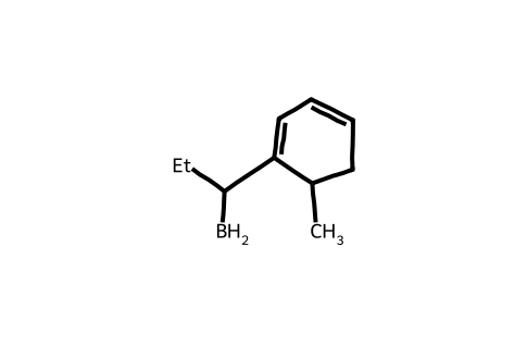 BC(CC)C1=CC=CCC1C